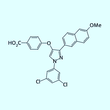 COc1ccc2cc(-c3nn(-c4cc(Cl)cc(Cl)c4)cc3Oc3ccc(C(=O)O)cc3)ccc2c1